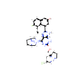 C#Cc1c(F)ccc2cc(O)cc(-c3nc4c(N5CC6CCC(C5)N6)nc(OC[C@@]56CCCN5C[C@H](F)C6)nc4n3C)c12